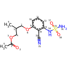 CC(=O)OCC(C)COc1cccc(NS(N)(=O)=O)c1C#N